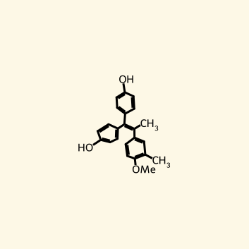 COc1ccc(C(C)=C(c2ccc(O)cc2)c2ccc(O)cc2)cc1C